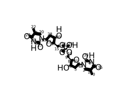 Cc1cn([C@H]2C[C@H](O)[C@@H](COP(=O)(O)OC[C@H]3O[C@@H](n4cc(C)c(=O)[nH]c4=O)C[C@@H]3O)O2)c(=O)[nH]c1=O